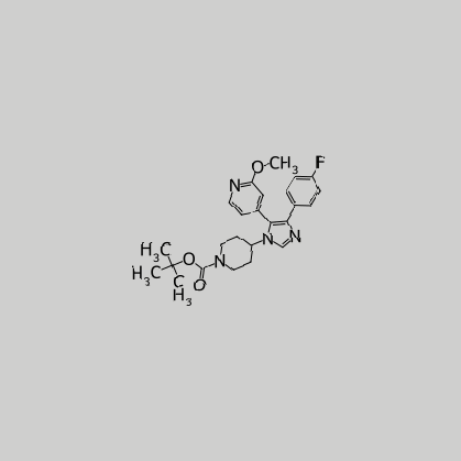 COc1cc(-c2c(-c3ccc(F)cc3)ncn2C2CCN(C(=O)OC(C)(C)C)CC2)ccn1